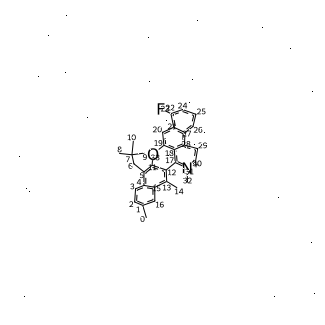 Cc1ccc2c(CC(C)(C)C)c3c(c(C)c2c1)-c1c2c(cc4c(F)cccc4c2cc[n+]1C)O3